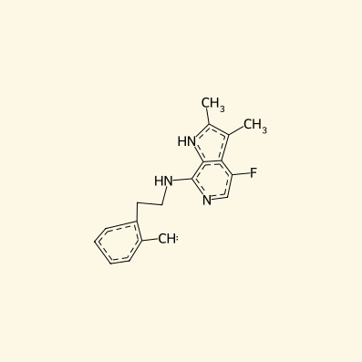 [CH]c1ccccc1CCNc1ncc(F)c2c(C)c(C)[nH]c12